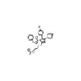 CC(=O)OCCCCc1nc(-c2ccncc2)c(-c2ccc(F)cc2)n1C(=O)OCc1ccccc1